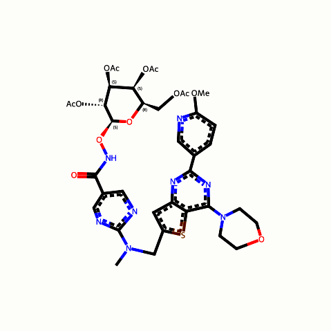 COc1ccc(-c2nc(N3CCOCC3)c3sc(CN(C)c4ncc(C(=O)NO[C@@H]5O[C@H](COC(C)=O)[C@H](OC(C)=O)[C@H](OC(C)=O)[C@H]5OC(C)=O)cn4)cc3n2)cn1